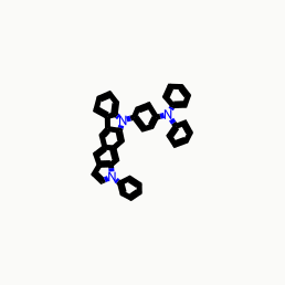 c1ccc(N(c2ccccc2)c2ccc(-n3c4ccccc4c4cc5cc6ccn(-c7ccccc7)c6cc5cc43)cc2)cc1